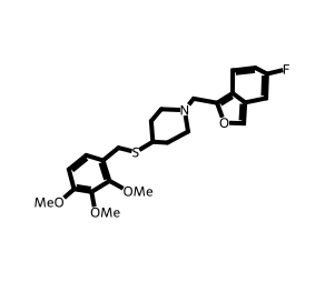 COc1ccc(CSC2CCN(Cc3occ4cc(F)ccc34)CC2)c(OC)c1OC